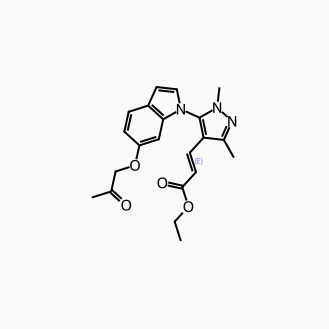 CCOC(=O)/C=C/c1c(C)nn(C)c1-n1ccc2ccc(OCC(C)=O)cc21